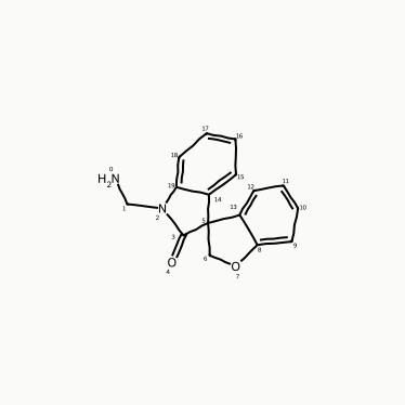 NCN1C(=O)C2(COc3ccccc32)c2ccccc21